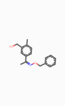 CC(=NOCc1ccccc1)c1ccc(C)c(CO)c1